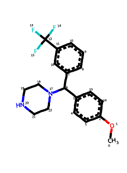 COc1ccc(C(c2cccc(C(F)(F)F)c2)N2CCNCC2)cc1